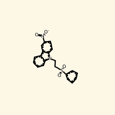 O=[N+]([O-])c1ccc2c(c1)c1ccccc1n2CCS(=O)(=O)c1ccccc1